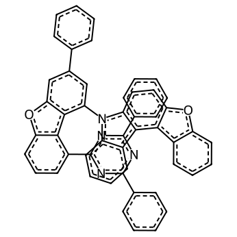 c1ccc(-c2cc(-n3c4ccccc4c4c5c(ccc43)oc3ccccc35)c3c(c2)oc2cccc(-c4nc(-c5ccccc5)nc(-c5ccccc5)n4)c23)cc1